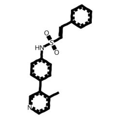 Cc1ccncc1-c1ccc(NS(=O)(=O)/C=C/c2ccccc2)cc1